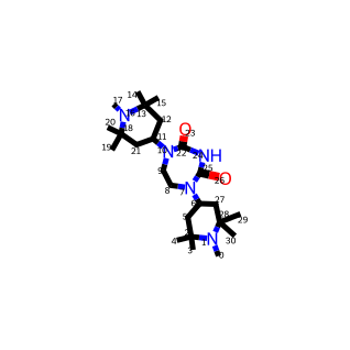 CN1C(C)(C)CC(N2CCN(C3CC(C)(C)N(C)C(C)(C)C3)C(=O)NC2=O)CC1(C)C